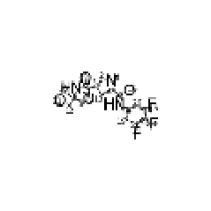 Cn1cc(S(=O)(=O)NC2(C)COC2)cc1C(=O)Nc1cc(F)c(F)c(F)c1